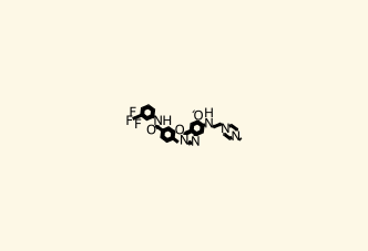 COc1cc2c(Oc3cc(C(=O)Nc4cccc(C(F)(F)F)c4)ccc3C)ncnc2cc1NCCN1CCN(C)CC1